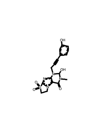 CN1C(=O)c2c(nc3n2CCS3(=O)=O)N(CC#Cc2cccc(O)c2)C1O